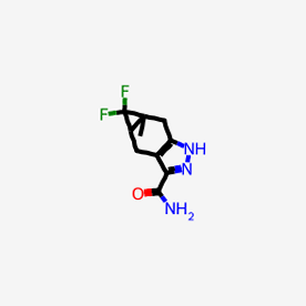 CC12Cc3[nH]nc(C(N)=O)c3CC1C2(F)F